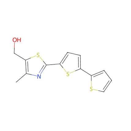 Cc1nc(-c2ccc(-c3cccs3)s2)sc1CO